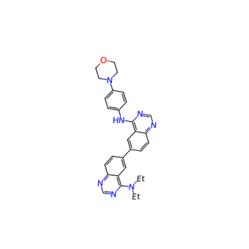 CCN(CC)c1ncnc2ccc(-c3ccc4ncnc(Nc5ccc(N6CCOCC6)cc5)c4c3)cc12